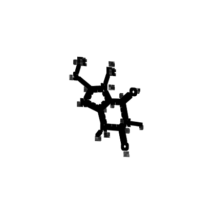 CCSc1nc2c(c(=O)n(C)c(=O)n2C)n1CC